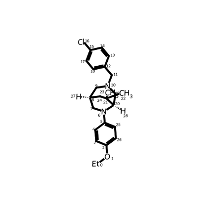 CCOc1ccc(N2C[C@H]3CN(Cc4ccc(Cl)cc4)C[C@@H]2C(C)(C)C3)cc1